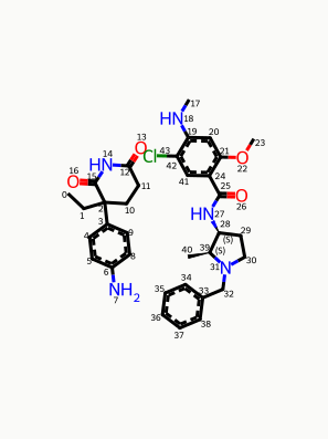 CCC1(c2ccc(N)cc2)CCC(=O)NC1=O.CNc1cc(OC)c(C(=O)N[C@H]2CCN(Cc3ccccc3)[C@H]2C)cc1Cl